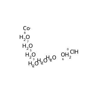 Cl.O.O.O.O.O.O.O.[Co]